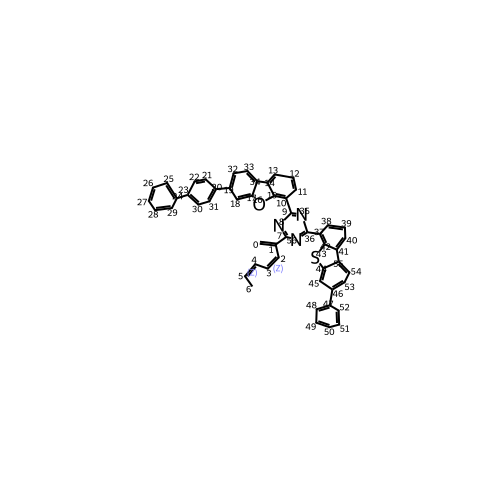 C=C(/C=C\C=C/C)c1nc(-c2cccc3c2oc2cc(-c4ccc(-c5ccccc5)cc4)ccc23)nc(-c2cccc3c2sc2cc(-c4ccccc4)ccc23)n1